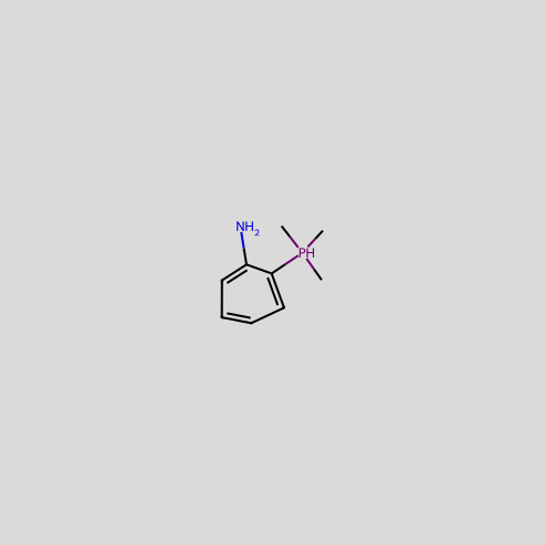 C[PH](C)(C)c1ccccc1N